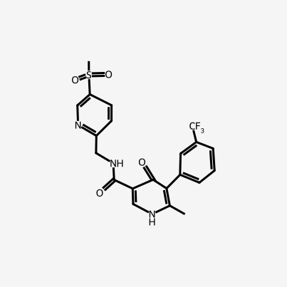 Cc1[nH]cc(C(=O)NCc2ccc(S(C)(=O)=O)cn2)c(=O)c1-c1cccc(C(F)(F)F)c1